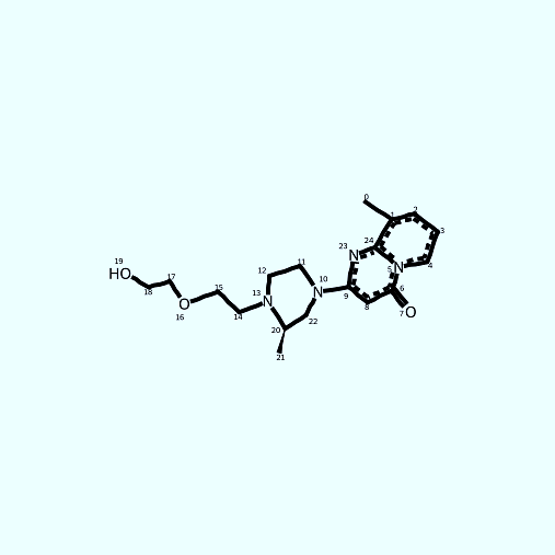 Cc1cccn2c(=O)cc(N3CCN(CCOCCO)[C@H](C)C3)nc12